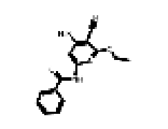 CCOc1nc(NC(=O)c2ccccc2)cc(N)c1C#N